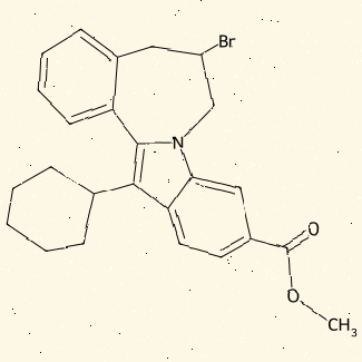 COC(=O)c1ccc2c(C3CCCCC3)c3n(c2c1)CC(Br)Cc1ccccc1-3